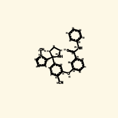 Cn1cncc1C1(c2ccc(C#N)c(Oc3cccc(C(=O)Nc4ccccc4)c3)c2)CCCN1